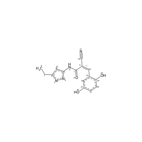 CCc1nnc(NC(=O)/C(C#N)=C\c2cc(O)ccc2O)s1